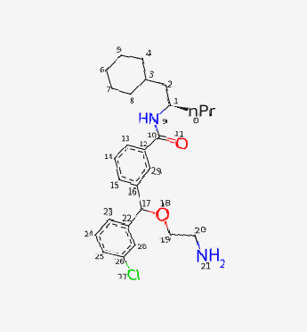 CCC[C@H](CC1CCCCC1)NC(=O)c1cccc(C(OCCN)c2cccc(Cl)c2)c1